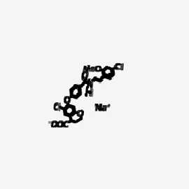 COc1cc(Cl)ccc1CCNC(=O)c1ccc(Oc2cc3c(cc2Cl)C(C(=O)[O-])CCO3)cc1.[Na+]